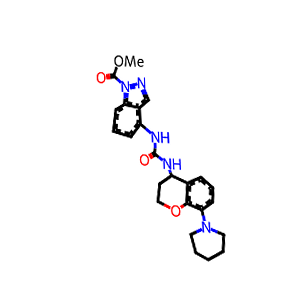 COC(=O)n1ncc2c(NC(=O)NC3CCOc4c3cccc4N3CCCCC3)cccc21